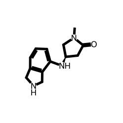 CN1C[C@H](Nc2cccc3c2CNC3)CC1=O